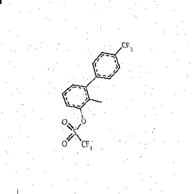 Cc1c(OS(=O)(=O)C(F)(F)F)cccc1-c1ccc(C(F)(F)F)cc1